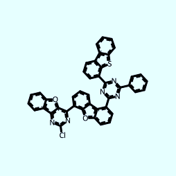 Clc1nc(-c2cccc3c2oc2cccc(-c4nc(-c5ccccc5)nc(-c5cccc6c5sc5ccccc56)n4)c23)c2oc3ccccc3c2n1